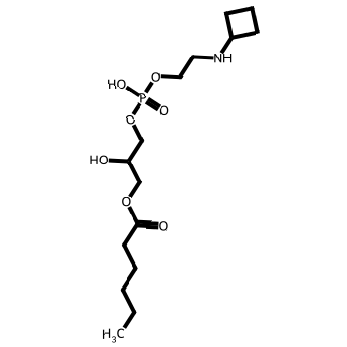 CCCCCC(=O)OCC(O)COP(=O)(O)OCCNC1CCC1